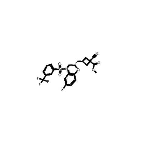 COC(=O)C1(C#N)CC(C[C@H]2CN(S(=O)(=O)c3cccc(C(F)(F)F)c3)c3cc(Br)ccc3O2)C1